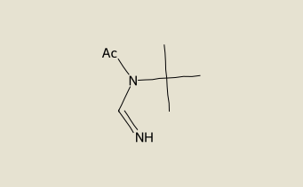 CC(=O)N(C=N)C(C)(C)C